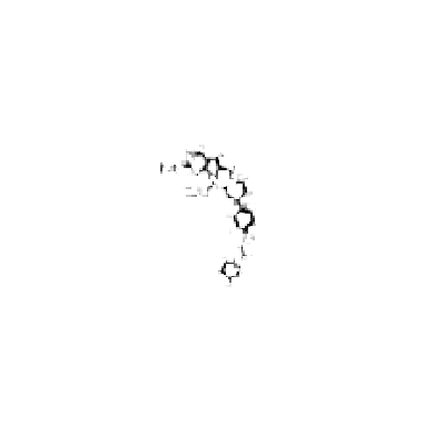 CC(C)(C)Cn1c(CN2CCC(c3ccc(OCCN4CCCC4)cc3)CC2)cc2cnc(C#N)nc21